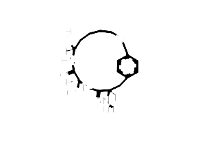 CC(C)[C@@H]1NC(=O)[C@@H](NI)Cc2ccc(cc2)OCCCC[C@@H](C)NC1=O